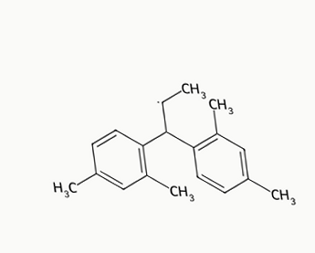 C[CH]C(c1ccc(C)cc1C)c1ccc(C)cc1C